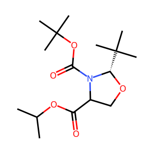 CC(C)OC(=O)C1CO[C@@H](C(C)(C)C)N1C(=O)OC(C)(C)C